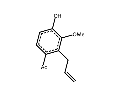 C=CCc1c(C(C)=O)ccc(O)c1OC